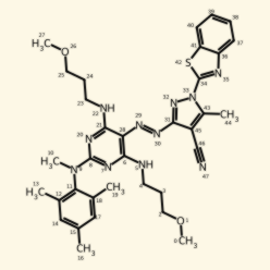 COCCCNc1nc(N(C)c2c(C)cc(C)cc2C)nc(NCCCOC)c1N=Nc1nn(-c2nc3ccccc3s2)c(C)c1C#N